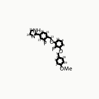 COc1ccc(COc2cccc(OCc3ccc(C4=NCCN4)cc3F)c2F)cc1